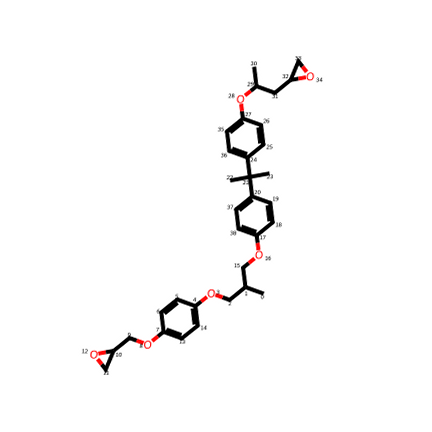 CC(COc1ccc(OCC2CO2)cc1)COc1ccc(C(C)(C)c2ccc(OC(C)CC3CO3)cc2)cc1